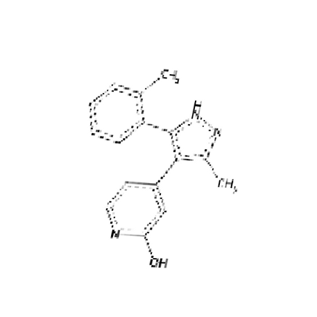 Cc1ccccc1-c1[nH]nc(C)c1-c1ccnc(O)c1